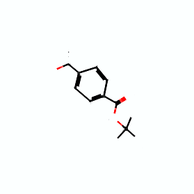 C[C@@H](O)c1ccc(C(=O)OC(C)(C)C)cc1